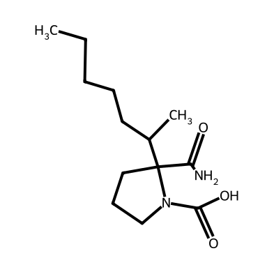 CCCCCC(C)C1(C(N)=O)CCCN1C(=O)O